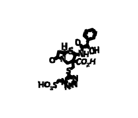 O=C(NC1S[C@@H]2CC(=O)N2CC1(CSc1nnnn1CS(=O)(=O)O)C(=O)O)C(O)c1ccccc1